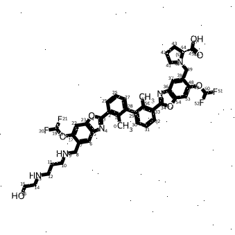 Cc1c(-c2nc3cc(CNCCCNCCO)c(OC(F)F)cc3o2)cccc1-c1cccc(-c2nc3cc(CN4CCC[C@H]4C(=O)O)c(OC(F)F)cc3o2)c1C